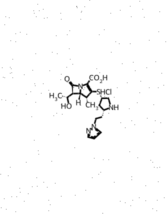 C[C@@H](O)[C@H]1C(=O)N2C(C(=O)O)=C(S[C@@H]3CN[C@H](CCn4cccn4)C3)[C@H](C)[C@H]12.Cl